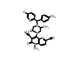 Cc1ccc(C(c2ccc(F)cn2)N2C[C@H](C)N(c3c(C#N)c(=O)n(C)c4ccc(C#N)nc34)CC2C)cc1